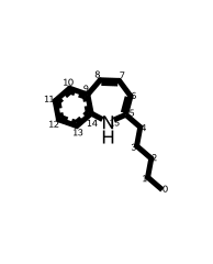 CCCCCC1=CC=Cc2ccccc2N1